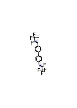 F/C(=C\c1ccc(-c2ccc(/C=C(\F)C(F)(F)F)cc2)cc1)C(F)(F)F